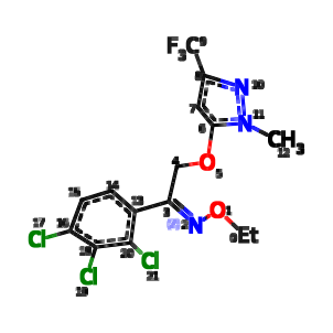 CCO/N=C(\COc1cc(C(F)(F)F)nn1C)c1ccc(Cl)c(Cl)c1Cl